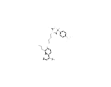 CCCc1c(OCCCCN2C(=O)NC(C)(c3ccc([N+](=O)[O-])cc3)C2=O)ccc2c(C(F)(F)F)cc(=O)oc12